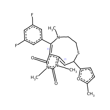 Cc1ccc(C2/C=c3/c(c(=O)n(C)c(=O)n3C)=C(/c3cc(F)cc(F)c3)N(C)CCS2)o1